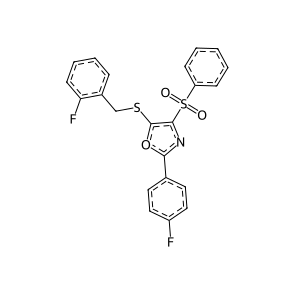 O=S(=O)(c1ccccc1)c1nc(-c2ccc(F)cc2)oc1SCc1ccccc1F